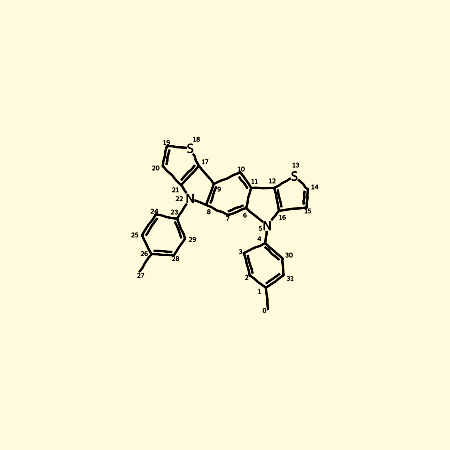 Cc1ccc(-n2c3cc4c(cc3c3sccc32)c2sccc2n4-c2ccc(C)cc2)cc1